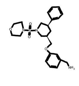 NCc1cccc(OC[C@@H]2C[C@H](c3ccccc3)CN(S(=O)(=O)N3CCOCC3)C2)c1